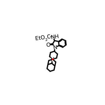 CCOC(=O)NC1C(=O)N(C2CCN(C3C4CCCC3CCC4)CC2)c2ccccc21